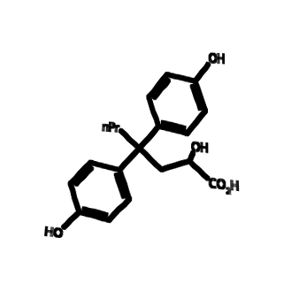 CCCC(CC(O)C(=O)O)(c1ccc(O)cc1)c1ccc(O)cc1